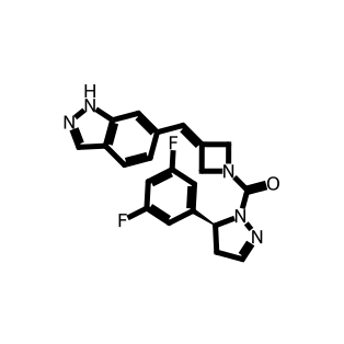 O=C(N1CC(=Cc2ccc3cn[nH]c3c2)C1)N1N=CC[C@H]1c1cc(F)cc(F)c1